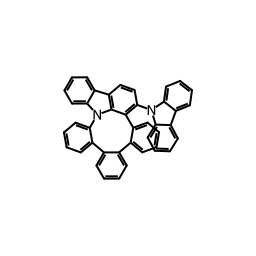 c1ccc2c(c1)c1ccccc1c1c(-n3c4ccccc4c4ccccc43)ccc3c4ccccc4n(c4ccccc24)c31